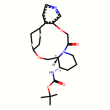 CC(C)(C)OC(=O)N[C@H]1CCCN2C(=O)COc3cnccc3C3CCC(CC3)OC[C@@H]12